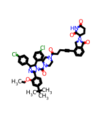 CCOc1cc(C(C)(C)C)ccc1C1=NC(c2ccc(Cl)cc2)C(c2ccc(Cl)cc2)N1C(=O)N1CCN(C(=O)CCC#Cc2cccc3c2CN(C2CCC(=O)NC2=O)C3=O)CC1